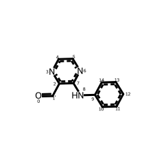 O=[C]c1nccnc1Nc1ccccc1